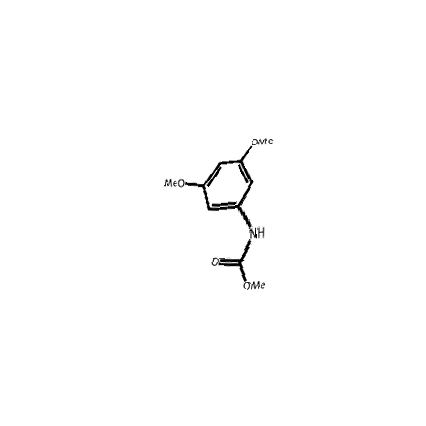 COC(=O)Nc1cc(OC)cc(OC)c1